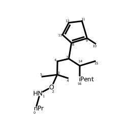 CCCNOC(C)(C)CC(C1=C(C)CC=C1)C(C)C(C)CCC